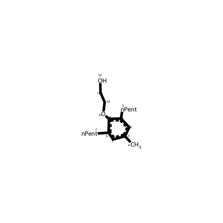 CCCCCc1cc(C)cc(CCCCC)c1OCCO